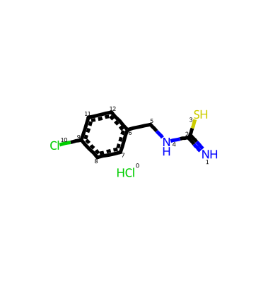 Cl.N=C(S)NCc1ccc(Cl)cc1